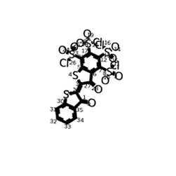 O=C1C(=C2Sc3c(c(S(=O)(=O)Cl)c(S(=O)(=O)Cl)c(S(=O)(=O)Cl)c3S(=O)(=O)Cl)C2=O)Sc2ccccc21